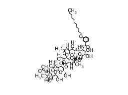 CCCCCCCCCCCOc1cccc(C(=O)N[C@@H]2C(O[C@H]3C(O)C(NC(C)=O)[C@H](OC4C(CO)O[C@@H](O[C@H]5C(O)C(NC(C)=O)C(OC(CO)C(CO)OC(O)[C@H](C)NC(C)=O)O[C@H]5CO)[C@@H](NC(C)=O)[C@H]4O)O[C@H]3CO)OC(CO)[C@@H](O)C2O)c1